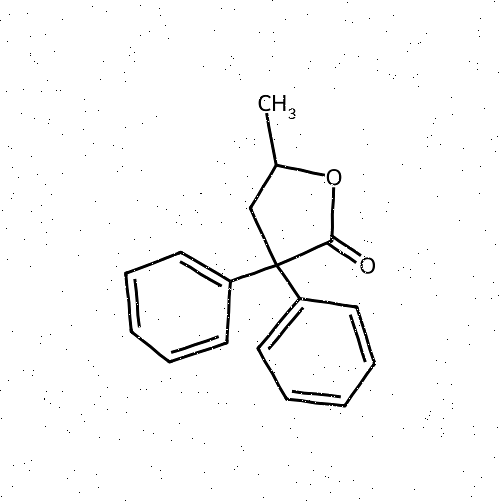 CC1CC(c2ccccc2)(c2ccccc2)C(=O)O1